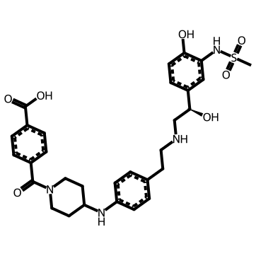 CS(=O)(=O)Nc1cc([C@@H](O)CNCCc2ccc(NC3CCN(C(=O)c4ccc(C(=O)O)cc4)CC3)cc2)ccc1O